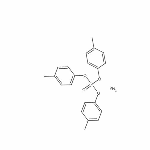 Cc1ccc(OP(=O)(Oc2ccc(C)cc2)Oc2ccc(C)cc2)cc1.P